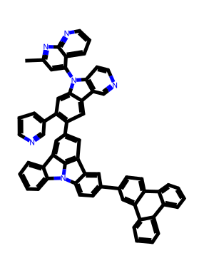 Cc1cc(-n2c3ccncc3c3cc(-c4cc5c6ccccc6n6c7ccc(-c8ccc9c%10ccccc%10c%10ccccc%10c9c8)cc7c(c4)c56)c(-c4cccnc4)cc32)c2cccnc2n1